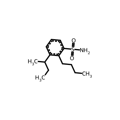 CCCCc1c(C(C)CC)cccc1S(N)(=O)=O